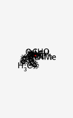 CNC(C)C(=O)N[C@](C=O)(N1CC(=O)N2[C@@H](Cc3ccc4ccccc4c3)C(=O)N([C@@H]3Cc4ccccc4C(C)C3)C[C@@H]21)C(C)(C)C